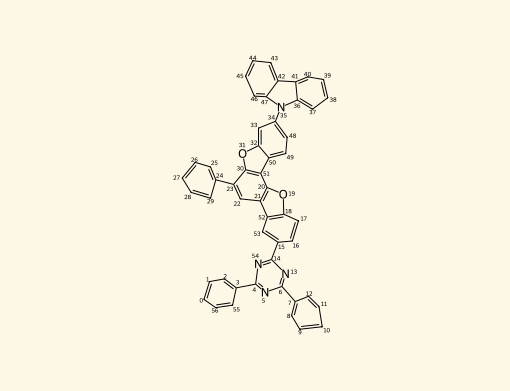 c1ccc(-c2nc(-c3ccccc3)nc(-c3ccc4oc5c(cc(-c6ccccc6)c6oc7cc(-n8c9ccccc9c9ccccc98)ccc7c65)c4c3)n2)cc1